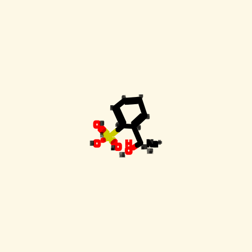 O=S(=O)([O-])c1ccccc1CO.[Na+]